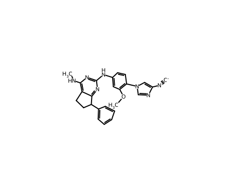 [C-]#[N+]c1cn(-c2ccc(Nc3nc(NC)c4c(n3)C(c3ccccc3)CC4)cc2OC)cn1